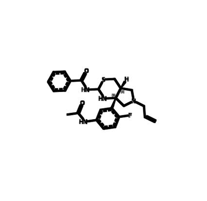 C=CCN1C[C@H]2CSC(NC(=O)c3ccccc3)N[C@@]2(c2cc(NC(C)=O)ccc2F)C1